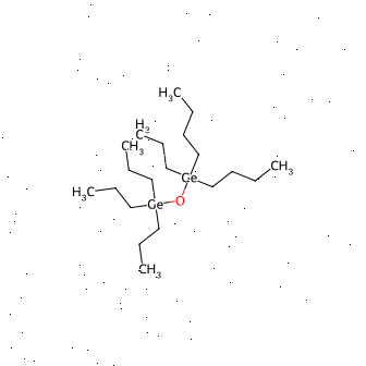 CCC[CH2][Ge]([CH2]CC)([CH2]CCC)[O][Ge]([CH2]CC)([CH2]CC)[CH2]CC